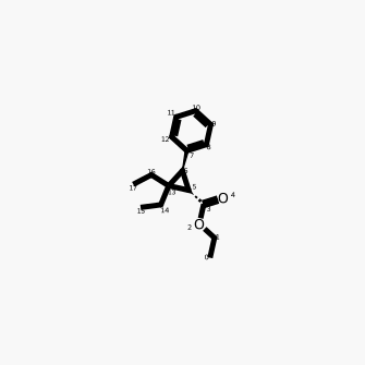 CCOC(=O)[C@H]1[C@H](c2ccccc2)C1(CC)CC